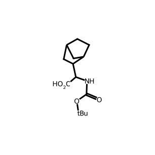 CC(C)(C)OC(=O)NC(C(=O)O)C1CC2CCC1C2